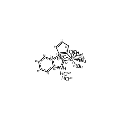 C[C](C)(C)[Zr]([CH3])([CH3])([CH3])([CH3])([CH3])([C]1=CC=CC1)([c]1cc2ccccc2[nH]1)[C](C)(C)C.Cl.Cl